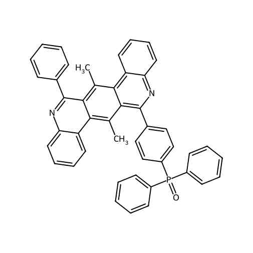 Cc1c2c(-c3ccc(P(=O)(c4ccccc4)c4ccccc4)cc3)nc3ccccc3c2c(C)c2c(-c3ccccc3)nc3ccccc3c12